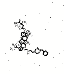 C=C(C)[C@@H]1CC[C@]2(CCNCCN3CCN(Cc4ccccn4)CC3)CC[C@]3(C)[C@H](CC[C@@H]4[C@@]5(C)CC[C@H](OC(=O)CC(C)(C)C(=O)O)C(C)(C)[C@@H]5CC[C@]43C)[C@@H]12